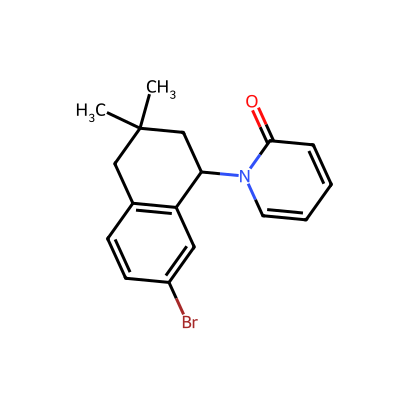 CC1(C)Cc2ccc(Br)cc2C(n2ccccc2=O)C1